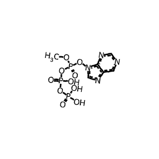 COP(=O)(On1cnc2cncnc21)OP(=O)(O)OP(=O)(O)O